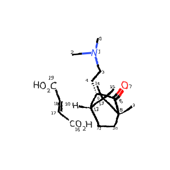 CN(C)CC[C@@H]1C(=O)[C@]2(C)CC[C@H]1C2(C)C.O=C(O)/C=C/C(=O)O